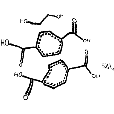 O=C(O)c1ccc(C(=O)O)cc1.O=C(O)c1ccc(C(=O)O)cc1.OCCO.[SiH4]